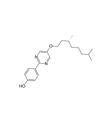 CC(C)CCC[C@@H](C)CCOc1cnc(-c2ccc(O)cc2)nc1